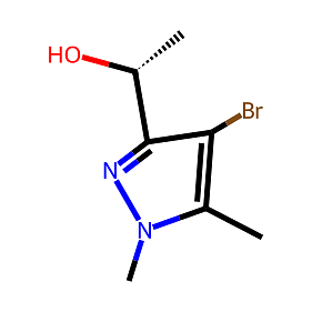 Cc1c(Br)c([C@@H](C)O)nn1C